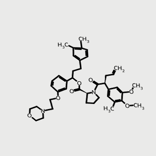 C=CC[C@H](C(=O)N1CCC[C@H]1C(=O)OC(CCc1ccc(C)c(C)c1)c1cccc(OCCN2CCOCC2)c1)c1cc(C)c(OC)c(OC)c1